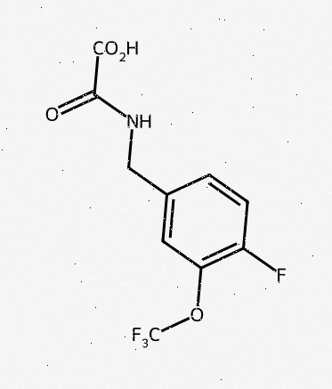 O=C(O)C(=O)NCc1ccc(F)c(OC(F)(F)F)c1